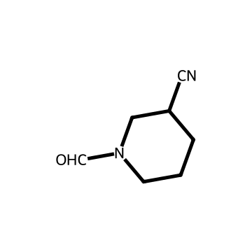 N#CC1CCCN(C=O)C1